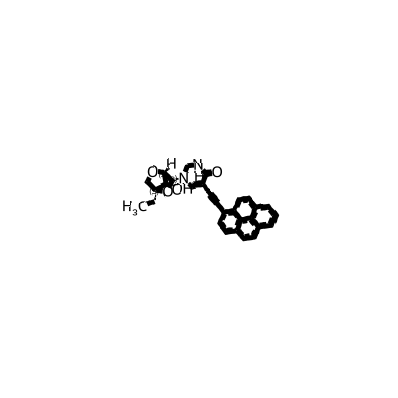 CC[C@]12CO[C@@H](C1O)[C@H](N1C=C(C#Cc3ccc4ccc5cccc6ccc3c4c56)C(=O)NC1)O2